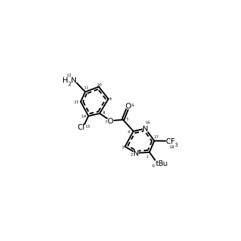 CC(C)(C)c1ncc(C(=O)Oc2ccc(N)cc2Cl)nc1C(F)(F)F